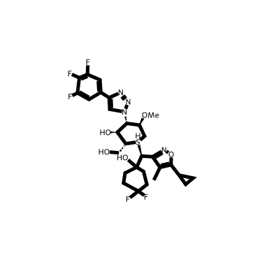 CO[C@H]1C[SH]([C@@H](c2noc(C3CC3)c2C)C2(O)CCC(F)(F)CC2)[C@H](CO)[C@H](O)[C@@H]1n1cc(-c2cc(F)c(F)c(F)c2)nn1